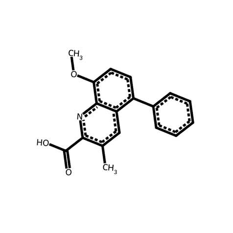 COc1ccc(-c2ccccc2)c2cc(C)c(C(=O)O)nc12